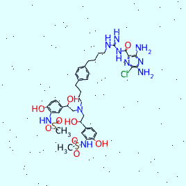 CS(=O)(=O)Nc1cc(C(O)CN(CCCCc2ccc(CCCCNC(=N)NC(=O)c3nc(Cl)c(N)nc3N)cc2)CC(O)c2ccc(O)c(NS(C)(=O)=O)c2)ccc1O